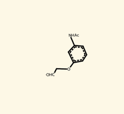 CC(=O)Nc1cccc(OC[C]=O)c1